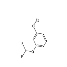 CCOc1cccc(OC(F)F)c1